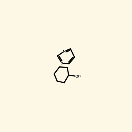 OC1CCCCC1.c1cncnc1